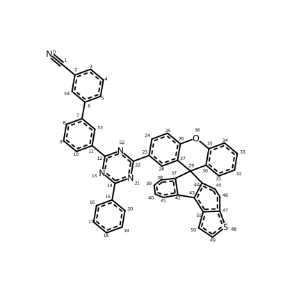 N#Cc1cccc(-c2cccc(-c3nc(-c4ccccc4)nc(-c4ccc5c(c4)C4(c6ccccc6O5)c5ccccc5-c5c4ccc4sccc54)n3)c2)c1